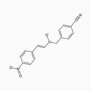 N#Cc1ccc(C[S+]([O-])C=Cc2ccc([N+](=O)[O-])cc2)cc1